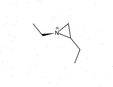 CCC1C[N@]1CC